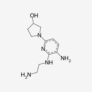 NCCNc1nc(N2CCC(O)C2)ccc1N